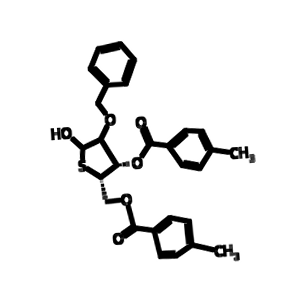 Cc1ccc(C(=O)OC[C@@H]2SC(O)C(OCc3ccccc3)[C@@H]2OC(=O)c2ccc(C)cc2)cc1